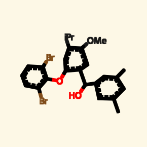 COc1cc(C(O)c2cc(C)cc(C)c2)c(Oc2c(Br)cccc2Br)cc1C(C)C